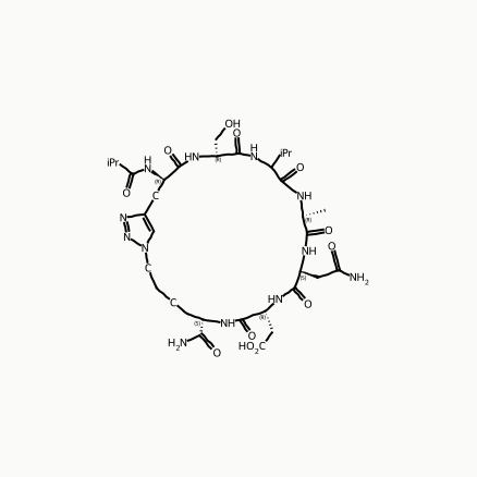 CC(C)C(=O)N[C@@H]1Cc2cn(nn2)CCCC[C@@H](C(N)=O)NC(=O)[C@@H](CC(=O)O)NC(=O)[C@H](CC(N)=O)NC(=O)[C@@H](C)NC(=O)C(C(C)C)NC(=O)[C@@H](CO)NC1=O